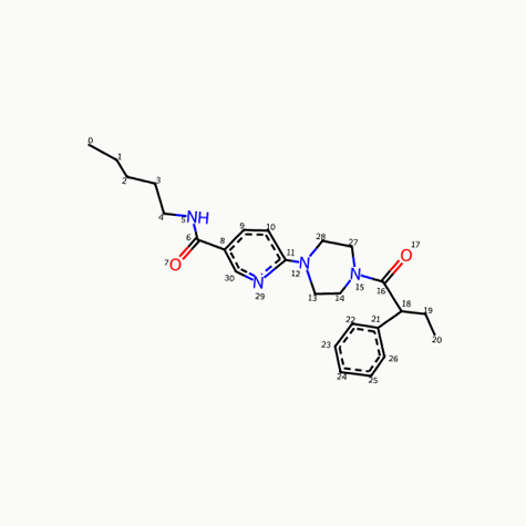 CCCCCNC(=O)c1ccc(N2CCN(C(=O)C(CC)c3ccccc3)CC2)nc1